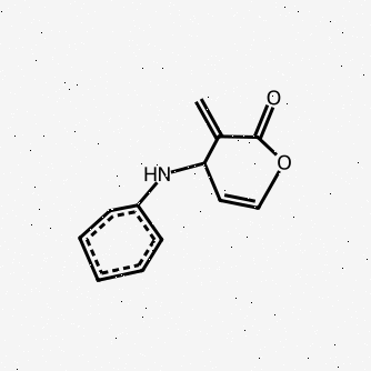 C=C1C(=O)OC=CC1Nc1ccccc1